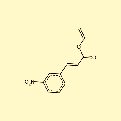 C=COC(=O)C=Cc1cccc([N+](=O)[O-])c1